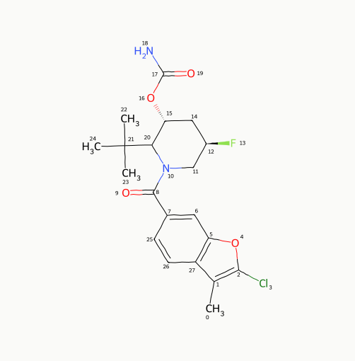 Cc1c(Cl)oc2cc(C(=O)N3C[C@H](F)C[C@@H](OC(N)=O)C3C(C)(C)C)ccc12